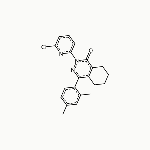 Cc1ccc(-c2nn(-c3cccc(Cl)n3)c(=O)c3c2CCCC3)c(C)c1